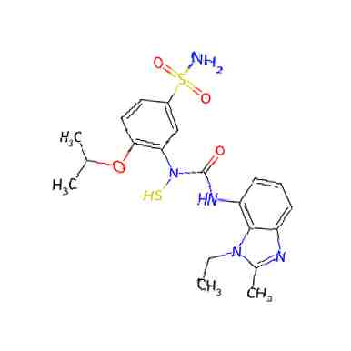 CCn1c(C)nc2cccc(NC(=O)N(S)c3cc(S(N)(=O)=O)ccc3OC(C)C)c21